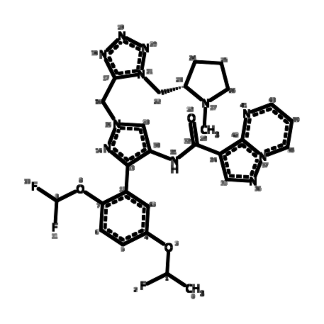 CC(F)Oc1ccc(OC(F)F)c(-c2nn(Cc3nnnn3C[C@@H]3CCCN3C)cc2NC(=O)c2cnn3cccnc23)c1